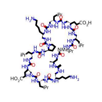 C=C(NC[C@H](CCCCN)NC(=O)NC[C@H](CC(C)C)NC(=O)NC[C@H](CCC(=O)O)NC(=O)NC[C@H](CC(C)C)NC(=O)NC[C@@H]1CCCN1C(=O)NC[C@H](CCCCN)NC(=O)NC[C@H](CC(C)C)NC(=O)NC[C@H](CCC(=O)O)NC(=O)NC[C@H](CC(C)C)NC(=O)NC(C)C)N[C@@H](C)CNC(=O)NC